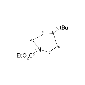 CCOC(=O)N1CCC(C(C)(C)C)CC1